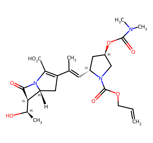 C=CCOC(=O)N1C[C@H](OC(=O)N(C)C)C[C@H]1C=C(C)C1=C(C(=O)O)N2C(=O)[C@H]([C@@H](C)O)[C@H]2C1